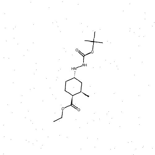 CCOC(=O)[C@H]1CC[C@H](NNC(=O)OC(C)(C)C)C[C@H]1C